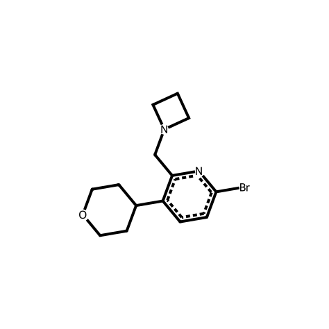 Brc1ccc(C2CCOCC2)c(CN2CCC2)n1